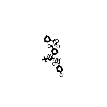 CC(C)(C)c1cc(NC(=O)Nc2ccc(Cl)cc2)n(-c2cccc(C(=O)N3C(=O)OC[C@@H]3c3ccccc3)c2)n1